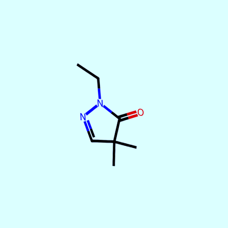 CCN1N=CC(C)(C)C1=O